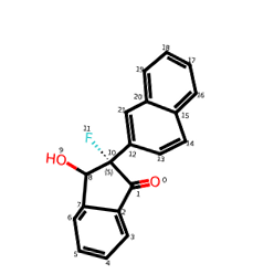 O=C1c2ccccc2C(O)[C@@]1(F)c1ccc2ccccc2c1